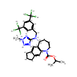 CC(C)OC(=O)N1CCC[C@@H](N(Cc2cc(C(F)(F)F)cc(C(F)(F)F)c2)c2nnn(C)n2)c2cc3c(cc21)CCC3